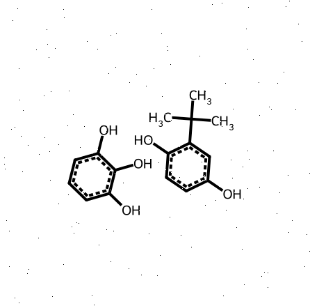 CC(C)(C)c1cc(O)ccc1O.Oc1cccc(O)c1O